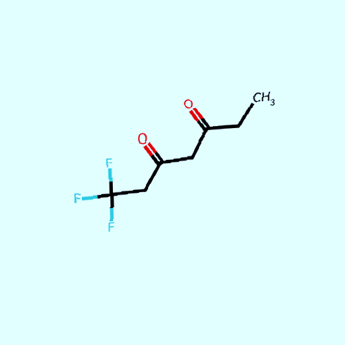 CCC(=O)CC(=O)CC(F)(F)F